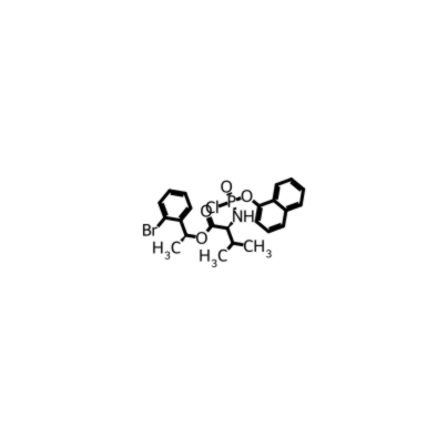 CC(C)[C@H](NP(=O)(Cl)Oc1cccc2ccccc12)C(=O)O[C@@H](C)c1ccccc1Br